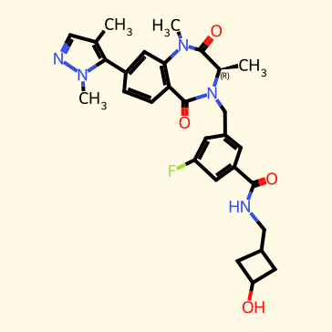 Cc1cnn(C)c1-c1ccc2c(c1)N(C)C(=O)[C@@H](C)N(Cc1cc(F)cc(C(=O)NCC3CC(O)C3)c1)C2=O